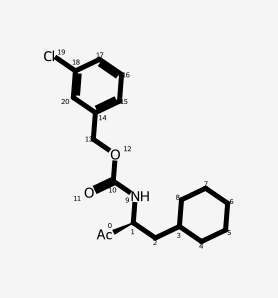 CC(=O)[C@H](CC1CCCCC1)NC(=O)OCc1cccc(Cl)c1